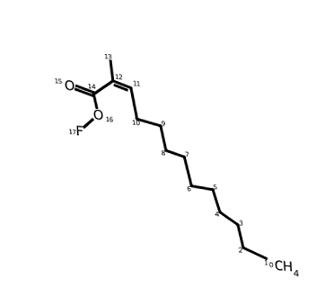 C.CCCCCCCCCCC=C(C)C(=O)OF